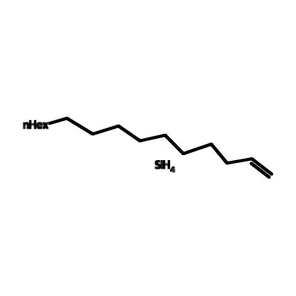 C=CCCCCCCCCCCCCCC.[SiH4]